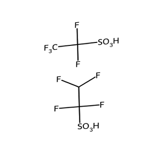 O=S(=O)(O)C(F)(F)C(F)(F)F.O=S(=O)(O)C(F)(F)C(F)F